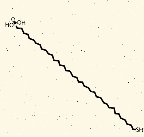 O=P(O)(O)CCCCCCCCCCCCCCCCCCCCCCCCCCCCCCCCCCCCCCCS